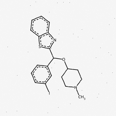 CN1CCC(OC(c2cccc(I)c2)c2nc3ccccc3s2)CC1